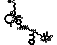 N=C(NNCCNC(CCC[C@@H]1SC[C@@H]2NC(=O)N[C@@H]21)C(=O)Oc1ccccc1)c1ccc(C(N)(C(=O)CCSCC[C]=O)P2(=O)OC(=O)CCSCCC(=O)O2)cc1